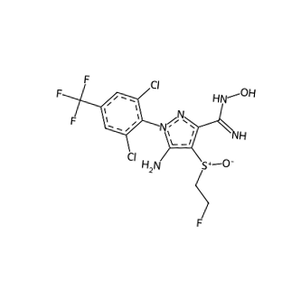 N=C(NO)c1nn(-c2c(Cl)cc(C(F)(F)F)cc2Cl)c(N)c1[S+]([O-])CCF